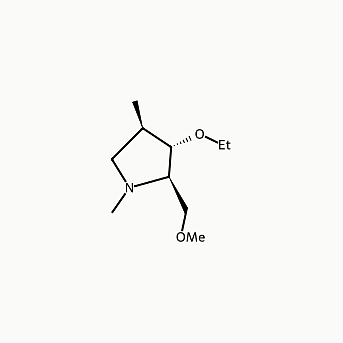 CCO[C@H]1[C@H](C)CN(C)[C@@H]1COC